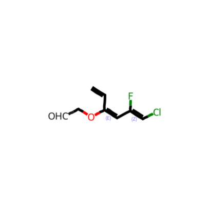 C=C/C(=C\C(F)=C\Cl)OCC=O